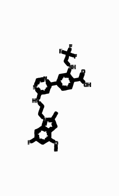 COc1cc(F)cc2c1cc(C)n2CCNc1cc(-c2ccc(C(=O)O)c(NCC(F)(F)F)c2)ncn1